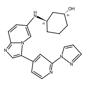 O[C@@H]1CCC[C@@H](Nc2ccc3ncc(-c4ccnc(-n5cccn5)c4)n3c2)C1